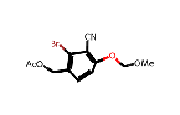 COCOc1ccc(COC(C)=O)c(Br)c1C#N